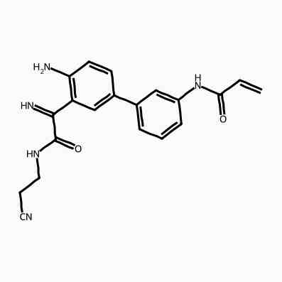 C=CC(=O)Nc1cccc(-c2ccc(N)c(C(=N)C(=O)NCCC#N)c2)c1